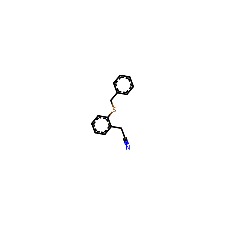 N#CCc1ccccc1SCc1ccccc1